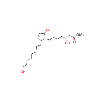 COC(=O)C[C@@H](O)CCCC[C@@H]1C(=O)CC[C@H]1C=CCCCCCCO